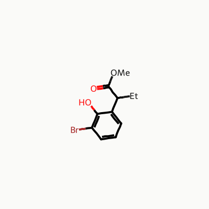 CCC(C(=O)OC)c1cccc(Br)c1O